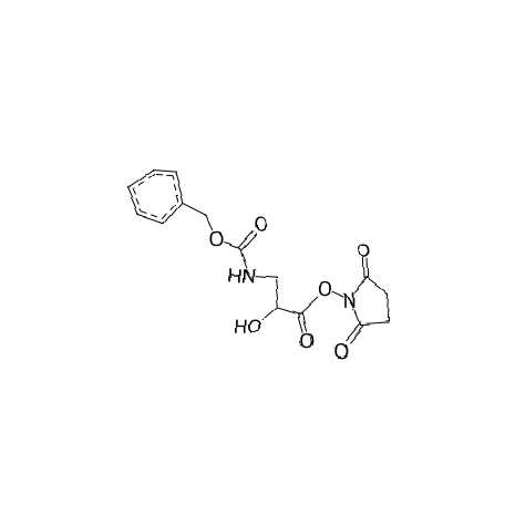 O=C(NCC(O)C(=O)ON1C(=O)CCC1=O)OCc1ccccc1